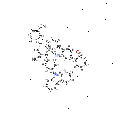 N#Cc1cccc(-c2ccc(-c3ccc(-n4c5ccccc5c5ccccc54)cc3-n3c4ccccc4c4cc5oc6ccccc6c5cc43)c(C#N)c2)c1